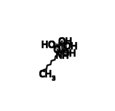 CCCCCCCCN[C@@H]1O[C@H](CO)[C@@H](O)[C@H](O)[C@H]1O